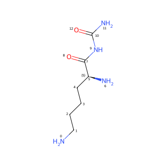 NCCCC[C@H](N)C(=O)NC(N)=O